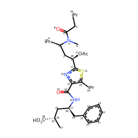 CC(=O)O[C@H](CC(C(C)C)N(C)C(=O)CC(C)C)c1nc(C(=O)N[C@@H](Cc2ccccc2)C[C@H](C)C(=O)O)c(C(C)C)s1